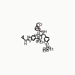 CCOP(=O)(COc1ccc(C[C@H](NC(=O)OC2C3COC4OCC2C4C3)[C@H](O)CN(C)S(=O)(=O)c2ccc3nc(NC4CC4)sc3c2)cc1)OCC